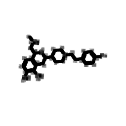 CNCC1OC(C2CCN(CCc3ccc(F)cc3)CC2)Cc2c1ccc(O)c2O